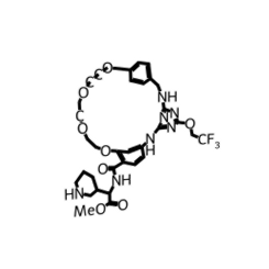 COC(=O)C(NC(=O)c1ccc2cc1OCCOCCOCCOc1ccc(cc1)CNc1nc(nc(OCC(F)(F)F)n1)N2)C1CCCNC1